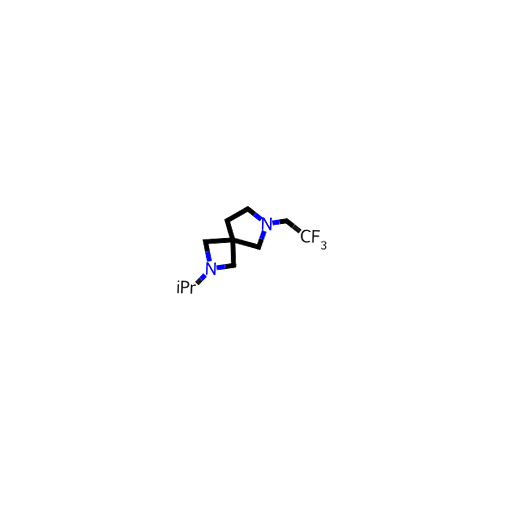 CC(C)N1CC2(CCN(CC(F)(F)F)C2)C1